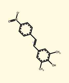 Cc1cc(/C=C/c2ccc([N+](=O)[O-])cc2)cc(C)c1O